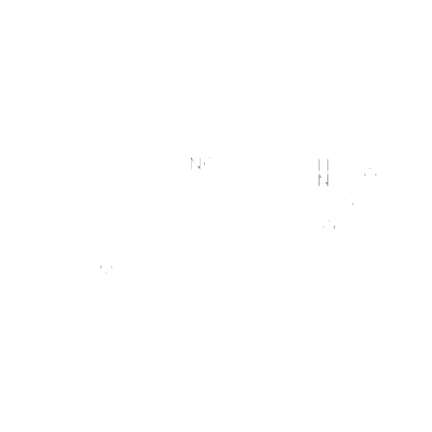 N#Cc1cc(NS(=O)(=O)C2CC2)ccc1-c1ccc(Oc2ccccc2)cc1